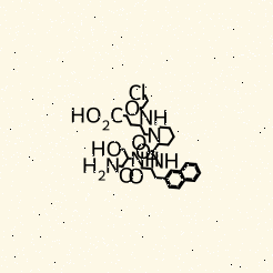 NC(=O)C(CO)NC(=O)C(Cc1ccc2ccccc2c1)NC(=O)C1CCCCN1C(=O)C(CCC(=O)O)NC(=O)CCl